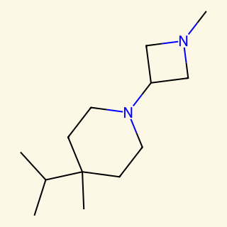 CC(C)C1(C)CCN(C2CN(C)C2)CC1